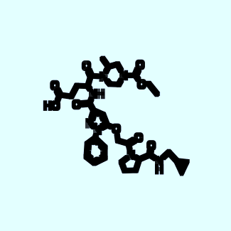 CCOC(=O)N1CCN(C(=O)C(CCC(=O)O)NC(=O)c2cc(OCC(=O)N3CCCC3C(=O)NCC3CC3)n(-c3ccccc3)n2)C(C)C1